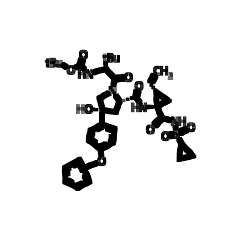 C=C[C@@H]1C[C@]1(NC(=O)[C@@H]1C[C@@](O)(c2ccc(Oc3ccccc3)cc2)CN1C(=O)[C@@H](NC(=O)OC(C)(C)C)C(C)(C)C)C(=O)NS(=O)(=O)C1CC1